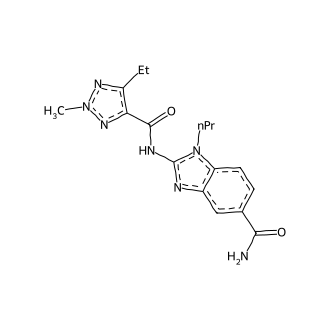 CCCn1c(NC(=O)c2nn(C)nc2CC)nc2cc(C(N)=O)ccc21